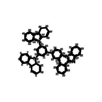 C1=CC2c3ccccc3N(c3cc(-c4ccc5c(c4)c4ccccc4c4nc6ccccc6n54)cc(-n4c5c(c6ccccc64)CCC=C5)c3)C2C=C1